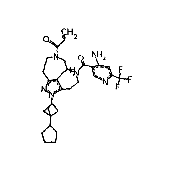 C=CC(=O)N1CCc2nn(C34CC(C5CCCC5)(C3)C4)c3c2[C@H](C1)N(C(=O)c1cnc(C(F)(F)F)cc1N)CC3